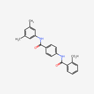 Cc1cc(C)cc(NC(=O)c2ccc(NC(=O)c3ccccc3C(=O)O)cc2)c1